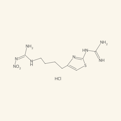 Cl.N=C(N)Nc1nc(CCCCN/C(N)=N\[N+](=O)[O-])cs1